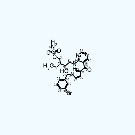 CC[C@H](COS(N)(=O)=O)[C@@H](O)CNc1ncncc1C(=O)c1ccn(Cc2cccc(Br)c2)n1